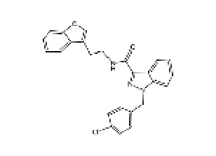 O=C(NCCc1coc2ccccc12)c1nn(Cc2ccc(Cl)cc2)c2ccccc12